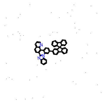 c1ccc2c(c1)-c1ccccc1C21c2ccccc2-c2ccc(-c3ccc4c5c(ccc6cccnc65)c5nc6ccccc6n5c4c3)cc21